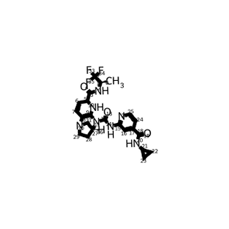 C[C@@H](NC(=O)C1C=CC2=C(N1)N(C(=O)Nc1cc(C(=O)NC3CC3)ccn1)[C@H]1CCN2C1)C(F)(F)F